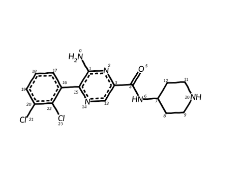 Nc1nc(C(=O)NC2CCNCC2)cnc1-c1cccc(Cl)c1Cl